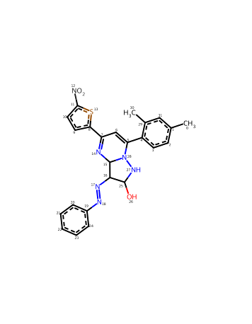 Cc1ccc(C2=CC(c3ccc([N+](=O)[O-])s3)=NC3C(N=Nc4ccccc4)C(O)NN23)c(C)c1